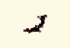 CC(C)Nc1ncc(-c2ccc3cc(Oc4ccnc(NC(=O)CCCC(C)Nc5ncc(-c6ccc7cc(Oc8ccnc(Br)c8)ccc7n6)c(=O)n5C)c4)ccc3n2)c(=O)n1C